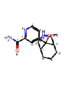 COC1(c2ccnc(C(N)=O)c2)C2CCCC1CNC2